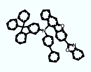 c1ccc(-c2ccc(N(c3ccc4c(c3)-c3ccccc3C4(c3ccccc3)c3ccccc3)c3c4ccccc4cc4oc5cc(-c6nc7ccccc7o6)ccc5c34)cc2)cc1